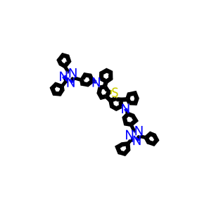 c1ccc(-c2nc(-c3ccccc3)nc(-c3ccc(-n4c5ccccc5c5c6sc7c(ccc8c7c7ccccc7n8-c7ccc(-c8nc(-c9ccccc9)nc(-c9ccccc9)n8)cc7)c6ccc54)cc3)n2)cc1